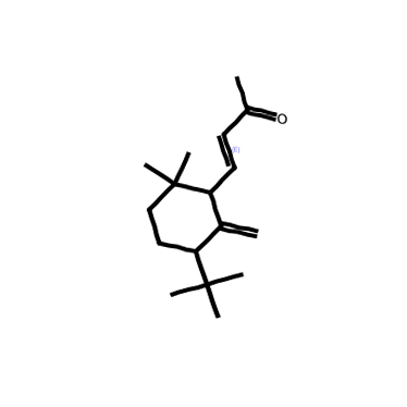 C=C1C(C(C)(C)C)CCC(C)(C)C1/C=C/C(C)=O